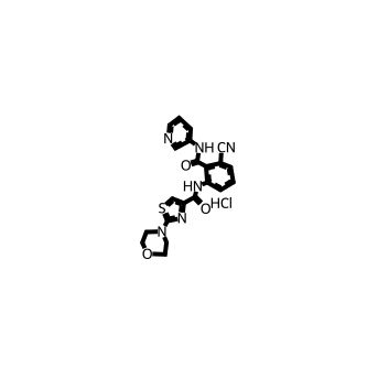 Cl.N#Cc1cccc(NC(=O)c2csc(N3CCOCC3)n2)c1C(=O)Nc1cccnc1